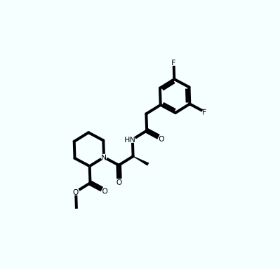 COC(=O)C1CCCCN1C(=O)[C@H](C)NC(=O)Cc1cc(F)cc(F)c1